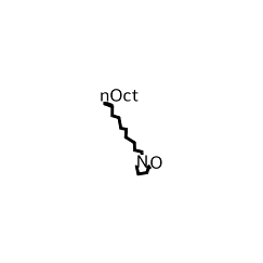 CCCCCCCCC=CCCCCCCCCN1CCCC1=O